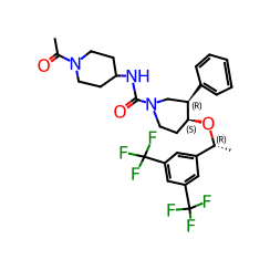 CC(=O)N1CCC(NC(=O)N2CC[C@H](O[C@H](C)c3cc(C(F)(F)F)cc(C(F)(F)F)c3)[C@H](c3ccccc3)C2)CC1